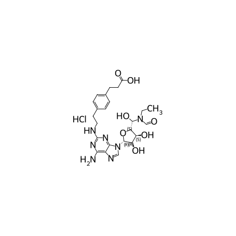 CCN(C=O)C(O)[C@H]1O[C@@H](n2cnc3c(N)nc(NCCc4ccc(CCC(=O)O)cc4)nc32)[C@H](O)[C@@H]1O.Cl